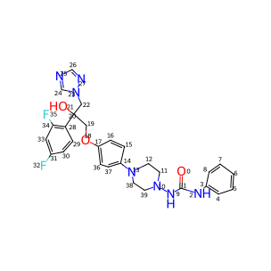 O=C(Nc1ccccc1)NN1CCN(c2ccc(OCC(O)(Cn3cncn3)c3ccc(F)cc3F)cc2)CC1